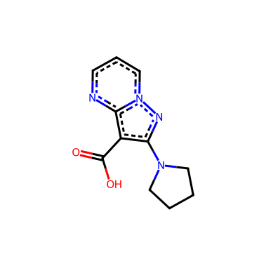 O=C(O)c1c(N2CCCC2)nn2cccnc12